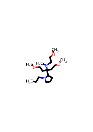 CCCN1CCCC1C(CCOC)(CCOC)N(C)CCOC